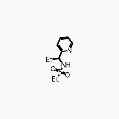 CCC(NS(=O)(=O)CC)c1ccccn1